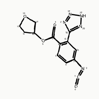 O=C=Nc1ccc(C(=O)OC2CCOC2)c(-c2nn[nH]n2)c1